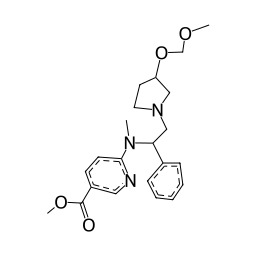 COCOC1CCN(CC(c2ccccc2)N(C)c2ccc(C(=O)OC)cn2)C1